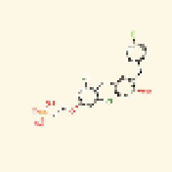 O=P(O)(O)CCOc1cc(Cl)c(Cc2ccc(O)c(Cc3ccc(F)cc3)c2)c(Cl)c1